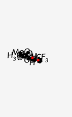 COC(=O)c1cc(S(C)(=O)=O)ccc1NC(=O)N1C[C@H]2C[C@@H](c3ccccc3C(F)(F)F)C[C@H]2C1